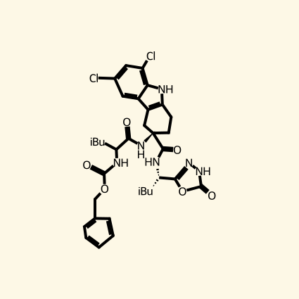 CCC(C)C(NC(=O)OCc1ccccc1)C(=O)N[C@]1(C(=O)N[C@H](c2n[nH]c(=O)o2)[C@@H](C)CC)CCc2[nH]c3c(Cl)cc(Cl)cc3c2C1